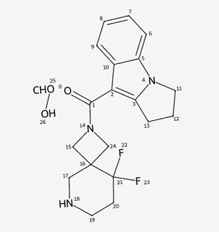 O=C(c1c2n(c3ccccc13)CCC2)N1CC2(CNCCC2(F)F)C1.O=CO